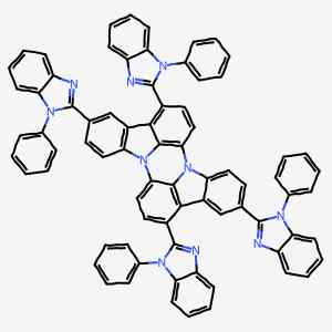 c1ccc(-n2c(-c3ccc4c(c3)c3c(-c5nc6ccccc6n5-c5ccccc5)ccc5c3n4c3ccc(-c4nc6ccccc6n4-c4ccccc4)c4c6cc(-c7nc8ccccc8n7-c7ccccc7)ccc6n5c43)nc3ccccc32)cc1